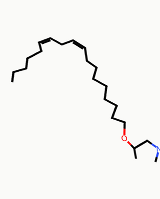 CCCCC/C=C\C/C=C\CCCCCCCCOC(C)CN(C)C